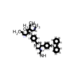 C#Cc1c(C)c(/C=C\C=C)n(-c2ccc(C3=NC/C(=C\C=N)C(c4ccc(-n5c6c#cccc6c6ccccc65)cc4)=N3)cc2)c1/C=C\C